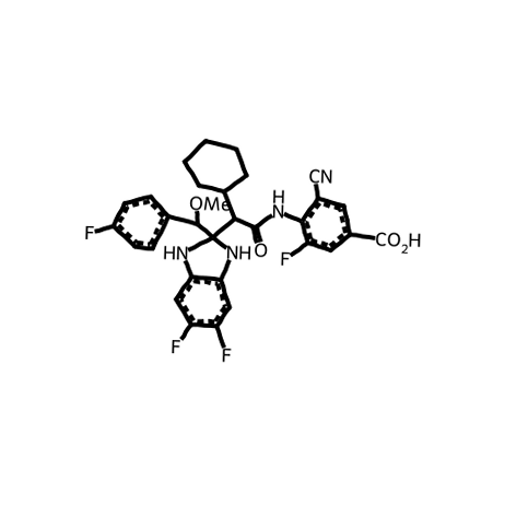 COC(c1ccc(F)cc1)C1(C(C(=O)Nc2c(F)cc(C(=O)O)cc2C#N)C2CCCCC2)Nc2cc(F)c(F)cc2N1